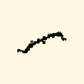 CC(C)CCC[C@@H](C)C1CCC2C3CC=C4C[C@@H](OC(=O)NCCSSCCOC(=O)CCN(CCC(=O)OCCSSCCNC(=O)O[C@H]5CC[C@@]6(C)C(=CC[C@H]7C8CCC([C@H](C)CCCC(C)C)[C@@]8(C)CCC76)C5)CCN(C)C)CC[C@]4(C)C3CC[C@@]21C